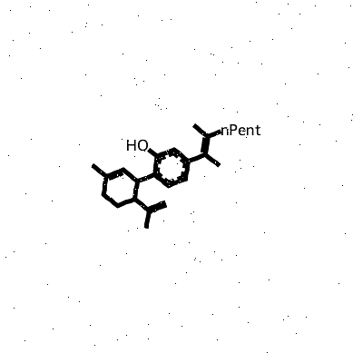 C=C(C)C1CCC(C)=CC1c1ccc(/C(C)=C(\C)CCCCC)cc1O